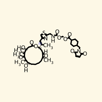 C/C(=C\c1csc(CNC(=O)OCOC(=O)C2CCC(CN3C(=O)C=CC3=O)CC2)n1)[C@@H]1C[C@@H]2O[C@]2(C)CCCC[C@H](O)[C@@H](C)C(=O)C(C)(C)[C@@H](O)CC(=O)O1